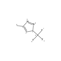 CC1=CC(C(F)(F)F)N=N1